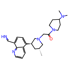 C[C@@H]1C[C@@H](c2ccc(C=N)c3ncccc23)CN(CC(=O)N2CCC(N(C)C)CC2)C1